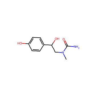 CN(CC(O)c1ccc(O)cc1)C(N)=O